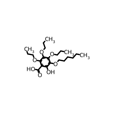 CCCCCCOc1c(O)c(C(=O)O)c(OCCC)c(OCCC)c1OCCC